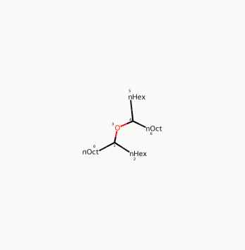 CCCCCCCCC(CCCCCC)OC(CCCCCC)CCCCCCCC